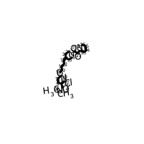 CN(C)C(=O)c1ccc(OCCCCC2CCN(C(=O)C(=O)c3ccccn3)CC2)nc1Cl